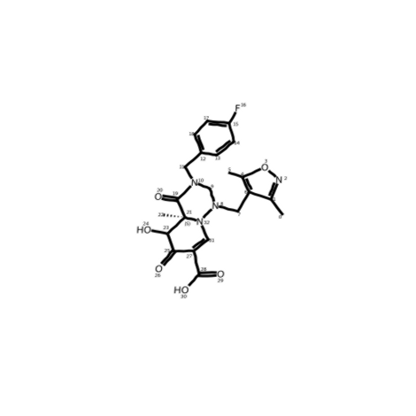 Cc1noc(C)c1CN1CN(Cc2ccc(F)cc2)C(=O)[C@]2(C)C(O)C(=O)C(C(=O)O)=CN12